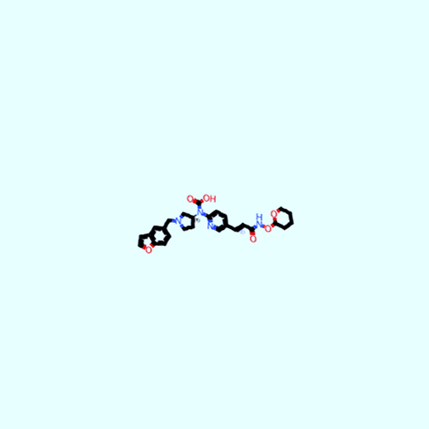 O=C(/C=C/c1ccc(N(C(=O)O)[C@@H]2CCN(Cc3ccc4occc4c3)C2)nc1)NOC1CCCCO1